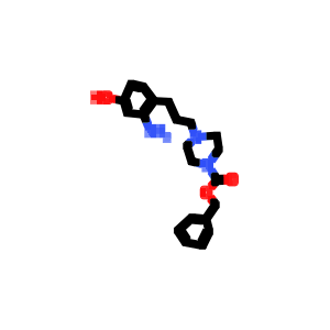 Nc1cc(O)ccc1CCCN1CCN(C(=O)OCc2ccccc2)CC1